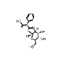 O=C(O)N(C1=N[C@@H]2[C@@H](O)[C@H](O)[C@@H](CO)O[C@@H]2S1)c1ccccc1